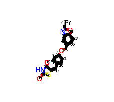 CC(C)c1nc2cc(COc3ccc(C=C4SC(=O)NC4=O)cc3)ccc2o1